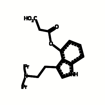 CC(C)N(CCc1c[nH]c2cccc(OC(=O)CC(=O)O)c12)C(C)C